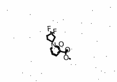 COC(=O)c1cccn(C2CCC(F)(F)C2)c1=O